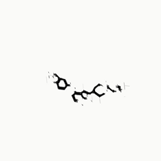 CN(C)CC(=O)N1CC=C(c2cc3c(Nc4ccc5[nH]ncc5c4)ccnc3[nH]2)CC1